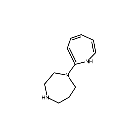 C1=CC=C(N2CCCNCC2)NC=C1